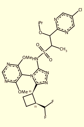 COc1ncnc(OC)c1-n1c(NS(=O)(=O)C(C)C(OC(C)C)c2ncc(Cl)cn2)nnc1[C@@H]1CC[C@@H]1C(F)F